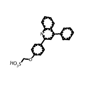 O=S(=O)(O)COc1ccc(-c2cc(-c3ccccc3)c3ccccc3n2)cc1